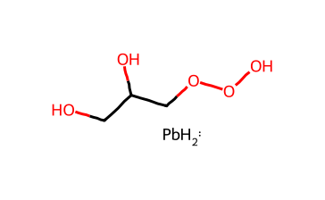 OCC(O)COOO.[PbH2]